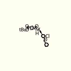 CC(C#Cc1ccc(OCc2ccccc2)c(Cl)c1)NC(=O)N1CCN(C(=O)OC(C)(C)C)CC1